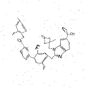 Cc1ccc(COc2cccc(-c3cc(F)c(Cc4nc5ccc(C(=O)O)cc5n4CC4(C)COC4)cc3F)n2)c(F)c1